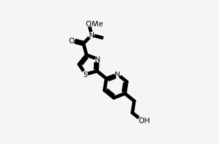 CON(C)C(=O)c1csc(-c2ccc(CCO)cn2)n1